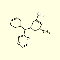 CC1=CC(C)CN(C(C2=CC=CCC2)C2=COC=CO2)C1